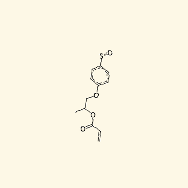 C=CC(=O)OC(C)COc1ccc([S+]=O)cc1